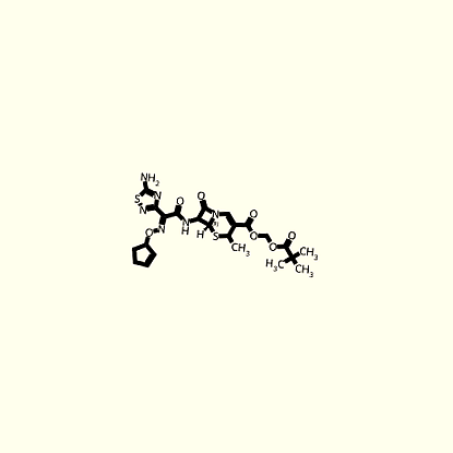 CC1S[C@@H]2C(NC(=O)C(=NOC3C=CCC3)c3nsc(N)n3)C(=O)N2C=C1C(=O)OCOC(=O)C(C)(C)C